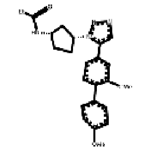 CCC(=O)N[C@H]1CC[C@@H](n2nncc2-c2ccc(-c3ccc(OC)cc3)c(OC)c2)C1